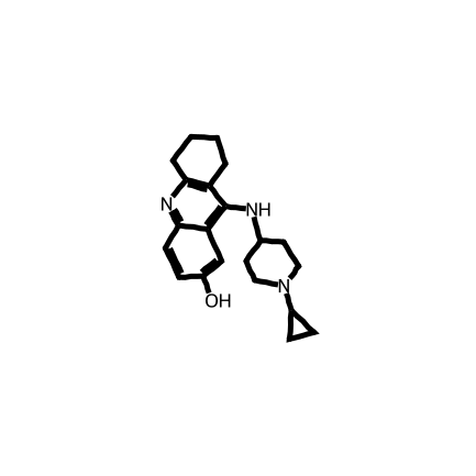 Oc1ccc2nc3c(c(NC4CCN(C5CC5)CC4)c2c1)CCCC3